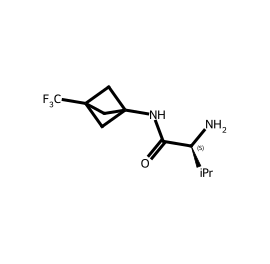 CC(C)[C@H](N)C(=O)NC12CC(C(F)(F)F)(C1)C2